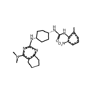 Cc1cccc([N+](=O)[O-])c1NC(=O)N[C@H]1CC[C@@H](Nc2nc3c(c(N(C)C)n2)CCCC3)CC1